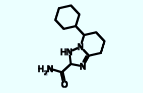 NC(=O)C1N=C2CCCC(C3CCCCC3)N2N1